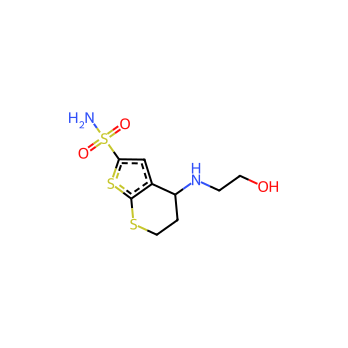 NS(=O)(=O)c1cc2c(s1)SCCC2NCCO